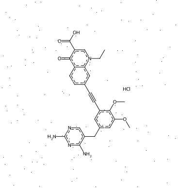 CCn1cc(C(=O)O)c(=O)c2ccc(C#Cc3cc(Cc4cnc(N)nc4N)cc(OC)c3OC)cc21.Cl